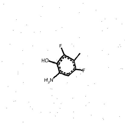 Cc1c(F)cc(N)c(O)c1F